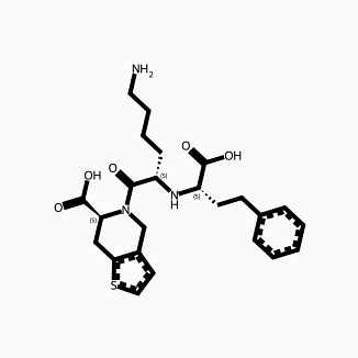 NCCCC[C@H](N[C@@H](CCc1ccccc1)C(=O)O)C(=O)N1Cc2ccsc2C[C@H]1C(=O)O